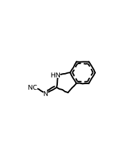 N#CN=C1Cc2ccccc2N1